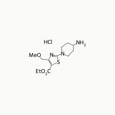 CCOC(=O)c1sc(N2CCC(N)CC2)nc1COC.Cl